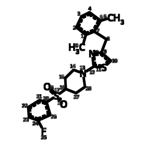 Cc1cccc(C)c1Cc1csc(N2CCC(S(=O)(=O)c3cccc(F)c3)CC2)n1